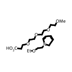 CCOCCN1C=CC=CC1.COCCOCCOCCOCCC(=O)O